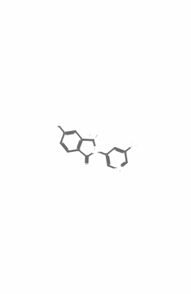 CC[C@@H]1c2cc(Cl)ccc2C(=O)N1c1cncc(Br)c1